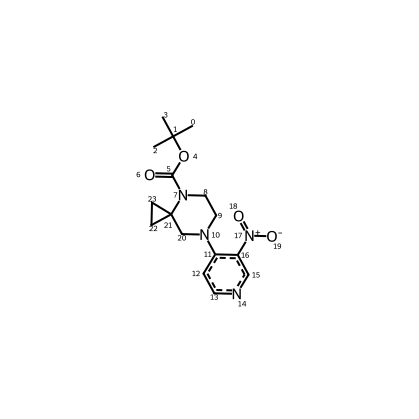 CC(C)(C)OC(=O)N1CCN(c2ccncc2[N+](=O)[O-])CC12CC2